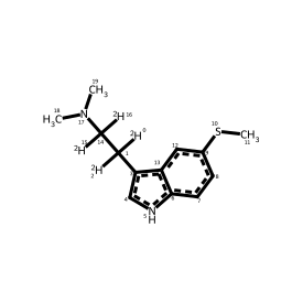 [2H]C([2H])(c1c[nH]c2ccc(SC)cc12)C([2H])([2H])N(C)C